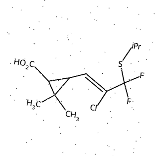 CC(C)SC(F)(F)C(Cl)=CC1C(C(=O)O)C1(C)C